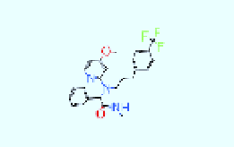 CNC(=O)C(c1ccccc1)N(CCCc1ccc(C(F)(F)F)cc1)c1cc(OC)ccn1